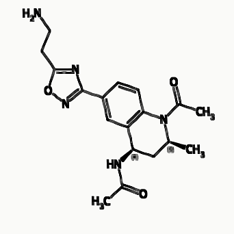 CC(=O)N[C@@H]1C[C@H](C)N(C(C)=O)c2ccc(-c3noc(CCN)n3)cc21